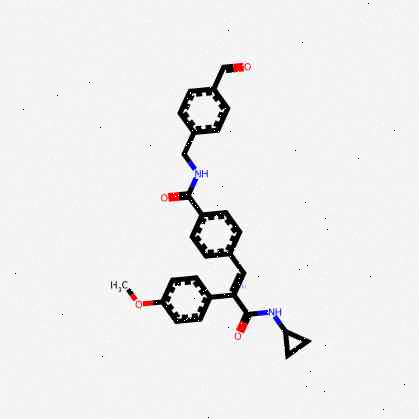 COc1ccc(/C(=C\c2ccc(C(=O)NCc3ccc(C=O)cc3)cc2)C(=O)NC2CC2)cc1